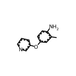 Cc1cc(Oc2cccnc2)ccc1N